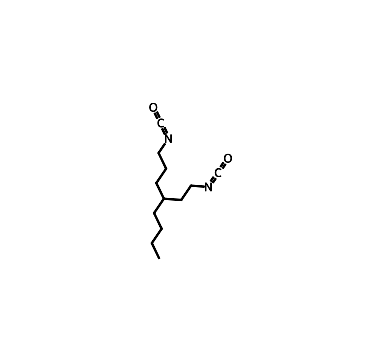 CCCCC(CCCN=C=O)CCN=C=O